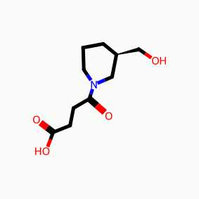 O=C(O)CCC(=O)N1CCC[C@@H](CO)C1